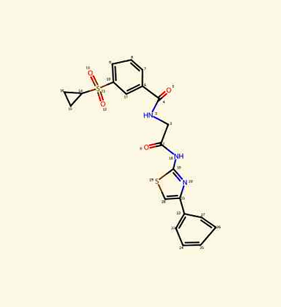 O=C(CNC(=O)c1cccc(S(=O)(=O)C2CC2)c1)Nc1nc(-c2ccccc2)cs1